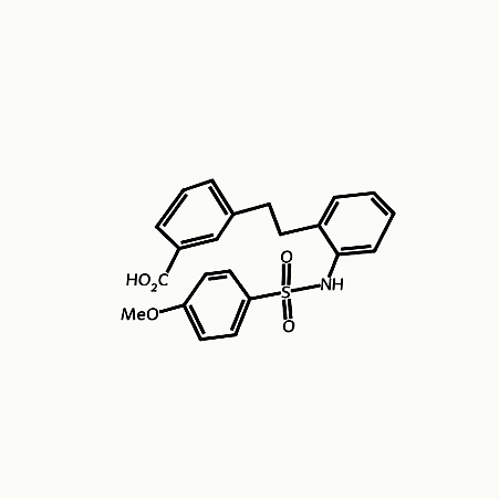 COc1ccc(S(=O)(=O)Nc2ccccc2CCc2cccc(C(=O)O)c2)cc1